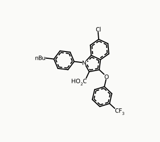 CCCCc1ccc(-n2c(C(=O)O)c(Oc3cccc(C(F)(F)F)c3)c3ccc(Cl)cc32)cc1